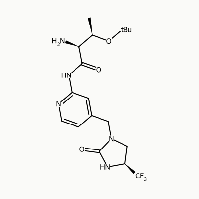 C[C@@H](OC(C)(C)C)[C@H](N)C(=O)Nc1cc(CN2C[C@@H](C(F)(F)F)NC2=O)ccn1